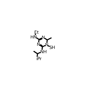 CCNC1=NC(C)N(S)C(NC(C)C(C)C)=N1